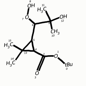 CC(C)(C)OC(=O)C1C(C(OO)C(C)(C)O)C1(C)C